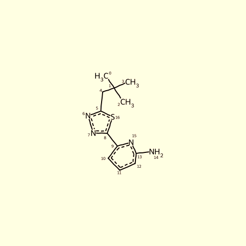 CC(C)(C)Cc1nnc(-c2cccc(N)n2)s1